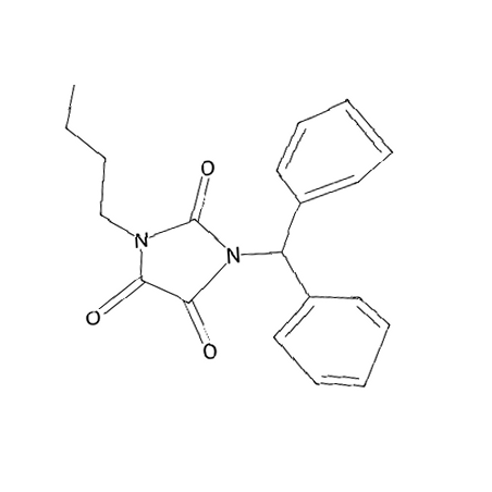 CCCCN1C(=O)C(=O)N(C(c2ccccc2)c2ccccc2)C1=O